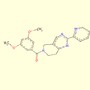 COc1cc(OC)cc(C(=O)N2CCc3nc(-c4ccccn4)ncc3C2)c1